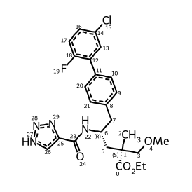 CCOC(=O)[C@](C)(COC)C[C@@H](Cc1ccc(-c2cc(Cl)ccc2F)cc1)NC(=O)c1c[nH]nn1